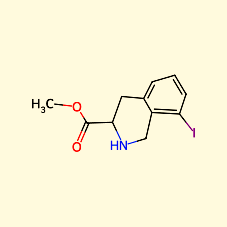 COC(=O)C1Cc2cccc(I)c2CN1